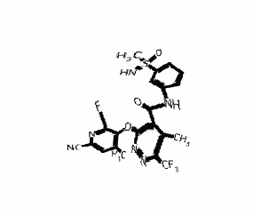 Cc1cc(C#N)nc(F)c1Oc1nnc(C(F)(F)F)c(C)c1C(=O)Nc1cccc(S(C)(=N)=O)c1